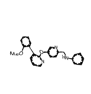 COc1ccccc1-c1cccnc1Oc1ccc(CNc2ccccc2)nc1